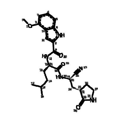 COc1cccc2[nH]c(C(=O)N[C@H](CCC(C)C)C(=O)N[C@H](C#N)C[C@@H]3CCNC3=O)cc12